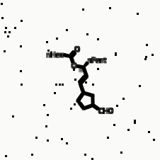 CCCCCCC(=O)O[C@H](C=CC1CCC(C=O)C1)CCCCC